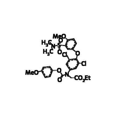 CCOC(=O)CN(C(=O)Oc1ccc(OC)cc1)c1cc(Cl)c(Oc2ccc(OC)c(S(=O)(=O)N(C)C)c2)c(Cl)c1